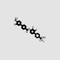 CCOc1ccc(-c2ccc(C(=O)Oc3ccc(C4CCC(C(C)O)CC4)c(F)c3F)cc2)cc1F